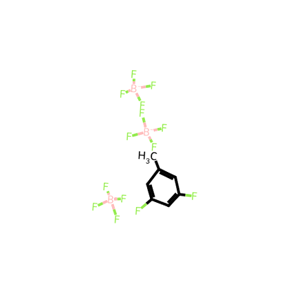 Cc1cc(F)cc(F)c1.F[B-](F)(F)F.F[B-](F)(F)F.F[B-](F)(F)F